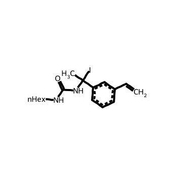 C=Cc1cccc(C(C)(I)NC(=O)NCCCCCC)c1